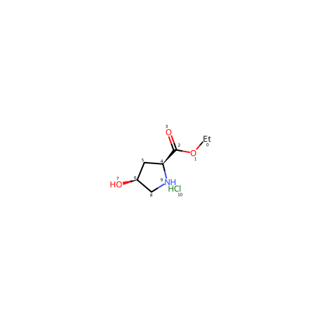 CCOC(=O)[C@@H]1C[C@H](O)CN1.Cl